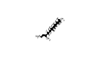 CC=CC(C)C(F)(F)C(F)(F)C(F)(F)C(F)(F)C(F)(F)C(F)(F)C(F)(F)C(F)(F)F